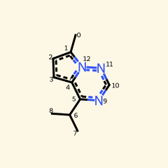 Cc1ccc2c(C(C)C)ncnn12